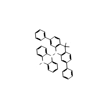 CN1c2ccccc2B(N2c3cc(-c4ccccc4)ccc3C(C)(C)c3ccc(-c4ccccc4)cc32)c2ccccc21